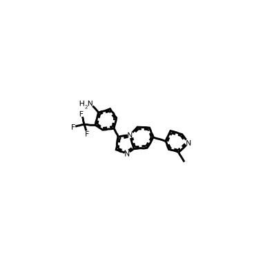 Cc1cc(-c2ccn3c(-c4ccc(N)c(C(F)(F)F)c4)cnc3c2)ccn1